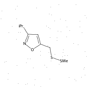 CSSCc1cc(C(C)C)no1